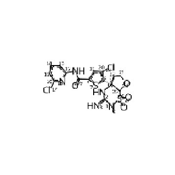 CN1C(=N)N[C@@]2(c3sc(C(=O)Nc4cccc(Cl)n4)cc3Cl)CCOC2S1(=O)=O